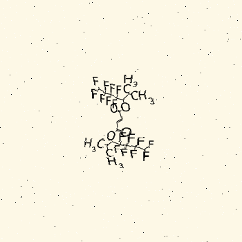 CC(C)C(OC(=O)/C=C/C(=O)OC(C(C)C)C(F)(F)C(F)(F)C(F)(F)C(F)F)C(F)(F)C(F)(F)C(F)(F)C(F)F